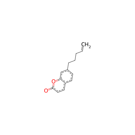 C=CCCCc1ccc2ccc(=O)oc2c1